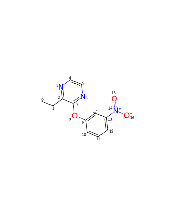 CCc1nccnc1Oc1cccc([N+](=O)[O-])c1